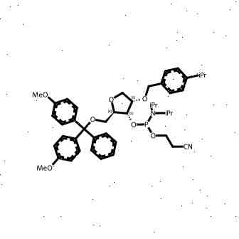 COc1ccc(C(OC[C@H]2OC[C@H](OCc3ccc(C(C)C)cc3)[C@@H]2OP(OCCC#N)N(C(C)C)C(C)C)(c2ccccc2)c2ccc(OC)cc2)cc1